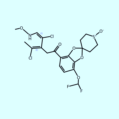 CON/C=C(Cl)\C(CC(=O)c1ccc(OC(F)F)c2c1OC1(CC[S+]([O-])CC1)O2)=C(/C)Cl